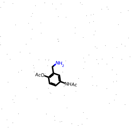 CC(=O)Nc1ccc(OC(C)=O)c(CN)c1